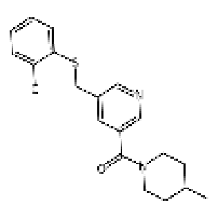 CC1CCN(C(=O)c2cncc(CSc3ccccc3Cl)c2)CC1